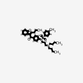 CCCCN(CCCC)CCCN(c1ccc(C(=O)c2c(CCC)oc3ccccc23)cc1)S(=O)(=O)c1ccc(C)cc1